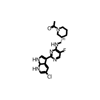 CC(=O)N1CCC[C@H](CNc2nc(C3=CNC4NC=C(Cl)C=C34)ncc2F)C1